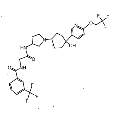 O=C(CNC(=O)c1cccc(C(F)(F)F)c1)NC1CCN(C2CCC(O)(c3ccc(OCC(F)(F)F)nc3)CC2)C1